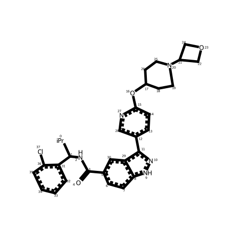 CC(C)C(NC(=O)c1ccc2[nH]nc(-c3ccc(OC4CCN(C5COC5)CC4)nc3)c2c1)c1ccccc1Cl